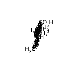 Cc1ccc(S(=O)(=O)N2CCN(CCN[C@]34CCCC3[C@H]3CCC5[C@@](C)(CCC6C(C)(C)C(c7ccc(C(=O)O)cc7)=CC[C@@]65C)C3CC4)CC2)cc1